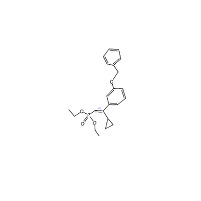 CCOP(=O)(/C=C(/c1cccc(OCc2ccccc2)c1)C1CC1)OCC